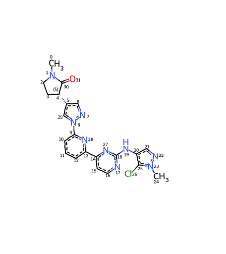 CN1CC[C@@H](c2cnn(-c3cccc(-c4ccnc(Nc5cnn(C)c5Cl)n4)n3)c2)C1=O